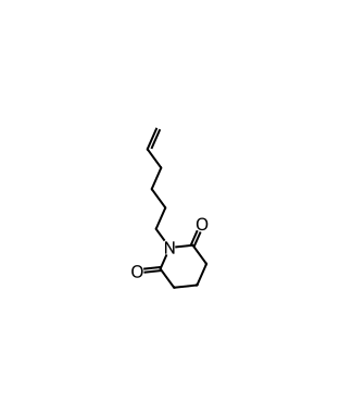 C=CCCCCN1C(=O)CCCC1=O